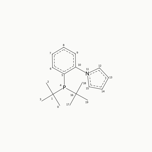 CC(C)(C)P(c1ccccc1-n1cccc1)C(C)(C)C